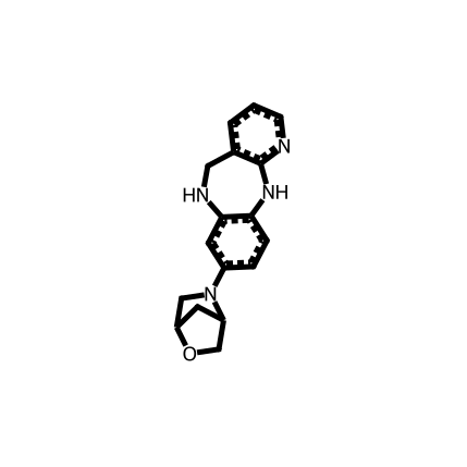 c1cnc2c(c1)CNc1cc(N3CC4CC3CO4)ccc1N2